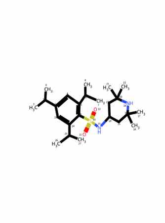 CC(C)c1cc(C(C)C)c(S(=O)(=O)NC2CC(C)(C)NC(C)(C)C2)c(C(C)C)c1